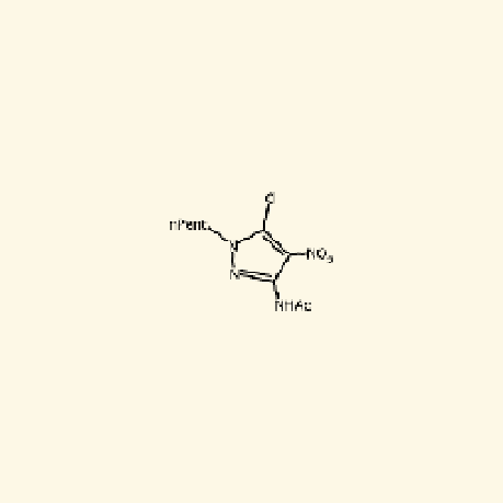 CCCCCn1nc(NC(C)=O)c([N+](=O)[O-])c1Cl